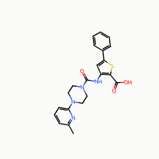 Cc1cccc(N2CCN(C(=O)Nc3cc(-c4ccccc4)sc3C(=O)O)CC2)n1